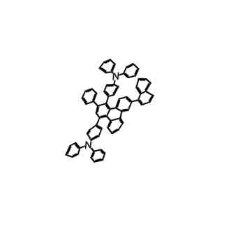 c1ccc(-c2cc(-c3ccc(N(c4ccccc4)c4ccccc4)cc3)c3c4ccccc4c4cc(-c5cccc6ccccc56)ccc4c3c2-c2ccc(N(c3ccccc3)c3ccccc3)cc2)cc1